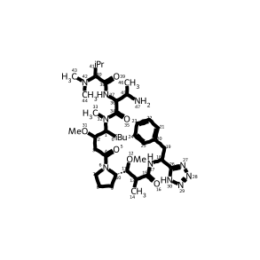 CCC(C)C(C(CC(=O)N1CCC[C@H]1C(OC)C(C)C(=O)NC(Cc1ccccc1)c1nnn[nH]1)OC)N(C)C(=O)C(NC(=O)C(C(C)C)N(C)C)C(C)N